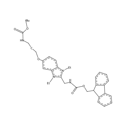 CCn1c(CNC(=O)OCC2c3ccccc3-c3ccccc32)[n+](CC)c2ccc(OCCCNC(=O)OC(C)(C)C)cc21